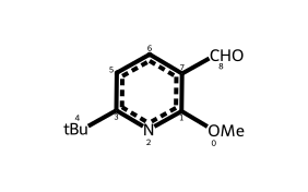 COc1nc(C(C)(C)C)ccc1C=O